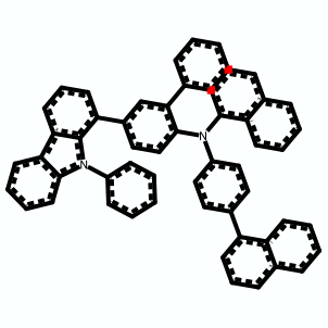 c1ccc(-c2cc(-c3cccc4c5ccccc5n(-c5ccccc5)c34)ccc2N(c2ccc(-c3cccc4ccccc34)cc2)c2cccc3ccccc23)cc1